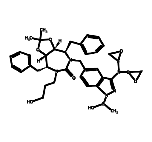 CB(O)n1nc(N(B2CO2)B2CO2)c2cc(CN3C(=O)N(CCCO)[C@H](Cc4ccccc4)[C@@H]4OC(C)(C)O[C@H]4[C@H]3Cc3ccccc3)ccc21